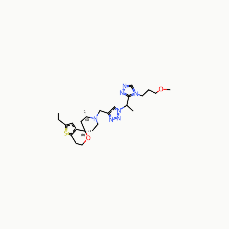 CCc1cc2c(s1)CCO[C@@]21CCN(Cc2cn(C(C)c3nncn3CCCOC)nn2)[C@@H](C)C1